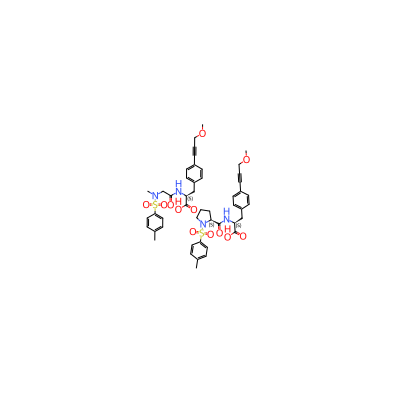 COCC#Cc1ccc(C[C@H](NC(=O)CN(C)S(=O)(=O)c2ccc(C)cc2)C(=O)O)cc1.COCC#Cc1ccc(C[C@H](NC(=O)[C@@H]2CCCN2S(=O)(=O)c2ccc(C)cc2)C(=O)O)cc1